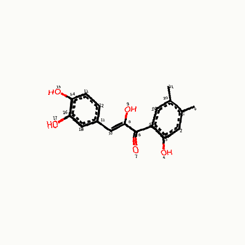 Cc1cc(O)c(C(=O)/C(O)=C/c2ccc(O)c(O)c2)cc1C